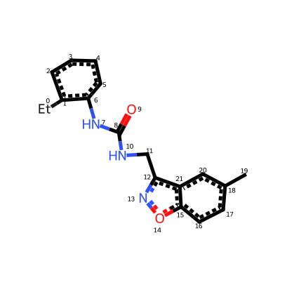 CCc1ccccc1NC(=O)NCc1noc2ccc(C)cc12